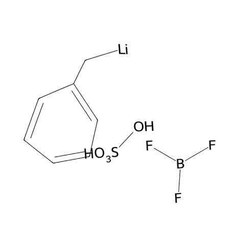 FB(F)F.O=S(=O)(O)O.[Li][CH2]c1ccccc1